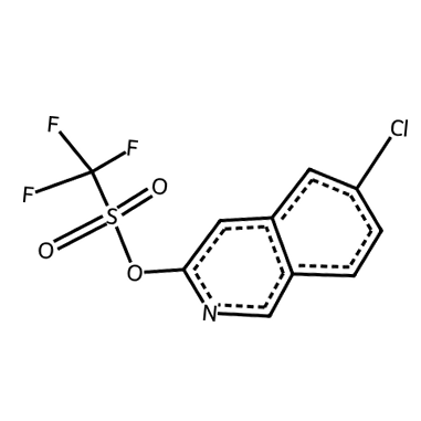 O=S(=O)(Oc1cc2cc(Cl)ccc2cn1)C(F)(F)F